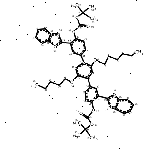 CCCCCCOc1cc(-c2ccc(OC(=O)OC(C)(C)C)c(-c3nc4ccccc4o3)c2)c(OCCCCC)cc1-c1ccc(OC(=O)OC(C)(C)C)c(-c2nc3ccccc3o2)c1